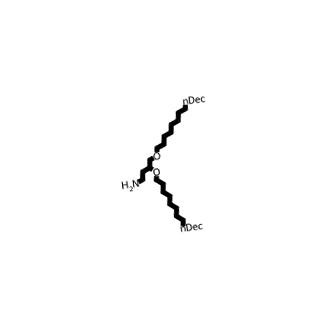 CCCCCCCCCCCCCCCCCCOCC(CCN)OCCCCCCCCCCCCCCCCCC